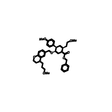 COCCCN1CCOc2ccc(CO[C@H]3CN(C(=O)OCc4ccccc4)[C@H](CCOC)C[C@@H]3c3ccc(OC)cc3)cc21